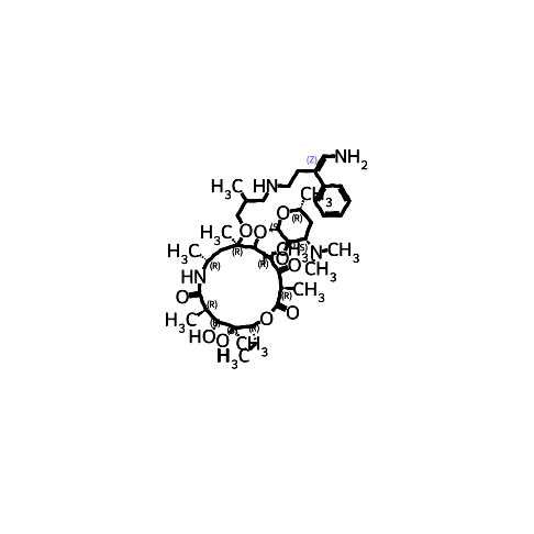 CC[C@H]1OC(=O)[C@H](C)C(=O)[C@H](C)C(O[C@@H]2O[C@H](C)C[C@H](N(C)C)[C@H]2O)[C@](C)(OCC(C)CNCC/C(=C/N)c2ccccc2)C[C@@H](C)NC(=O)[C@H](C)[C@@H](O)[C@]1(C)O